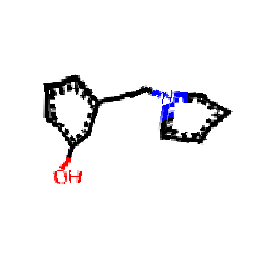 Oc1cccc(Cn2cccc2)c1